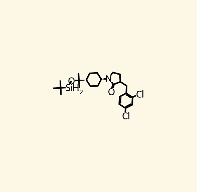 CC(C)(C)[SiH2]OC(C)(C)[C@H]1CC[C@@H](N2CCC(Cc3ccc(Cl)cc3Cl)C2=O)CC1